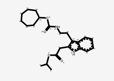 CC(C)OC(=O)Cc1[nH]c2ccccc2c1CCNC(=O)OC1CCCCCC1